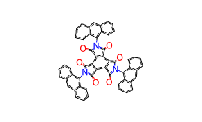 O=c1c2c3c(=O)n(-c4c5ccccc5cc5ccccc45)c(=O)c3c3c(=O)n(-c4c5ccccc5cc5ccccc45)c(=O)c3c2c(=O)n1-c1c2ccccc2cc2ccccc12